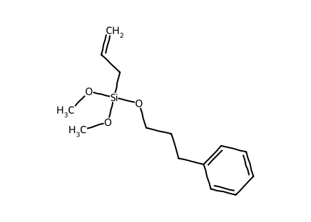 C=CC[Si](OC)(OC)OCCCc1ccccc1